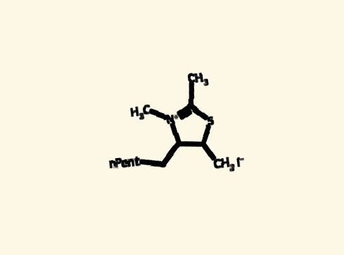 CCCCCCC1C(C)SC(C)=[N+]1C.[I-]